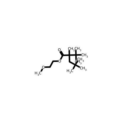 COCCOC(=O)C(C)(CC(C)(C)C)C(C)(C)C